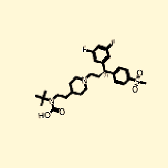 CC(C)(C)N(CCC1CCN(CC[C@H](c2ccc(S(C)(=O)=O)cc2)c2cc(F)cc(F)c2)CC1)C(=O)O